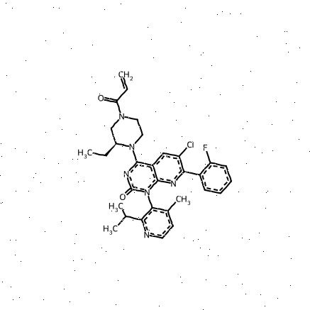 C=CC(=O)N1CCN(c2nc(=O)n(-c3c(C)ccnc3C(C)C)c3nc(-c4ccccc4F)c(Cl)cc23)[C@@H](CC)C1